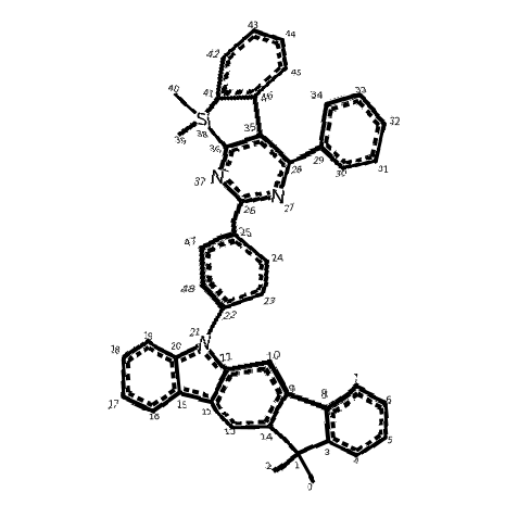 CC1(C)c2ccccc2-c2cc3c(cc21)c1ccccc1n3-c1ccc(-c2nc(-c3ccccc3)c3c(n2)[Si](C)(C)c2ccccc2-3)cc1